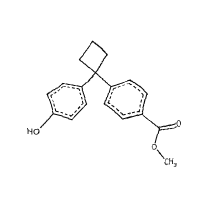 COC(=O)c1ccc(C2(c3ccc(O)cc3)CCC2)cc1